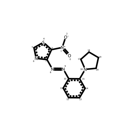 O=[N+]([O-])c1scnc1N=Nc1ccccc1N1CCCC1